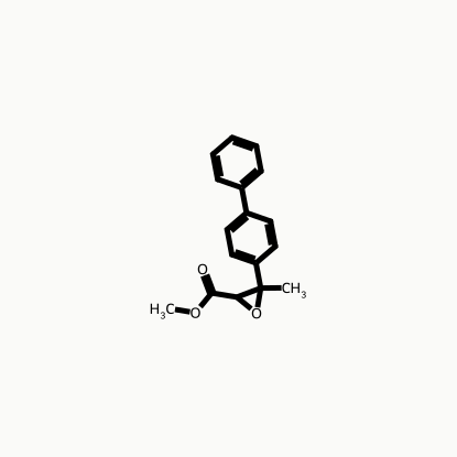 COC(=O)C1OC1(C)c1ccc(-c2ccccc2)cc1